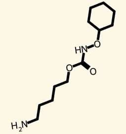 NCCCCCOC(=O)NOC1CCCCC1